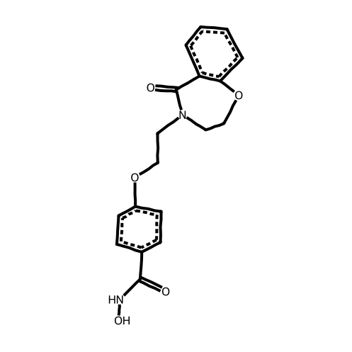 O=C(NO)c1ccc(OCCN2CCOc3ccccc3C2=O)cc1